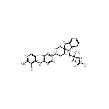 CC(C)(C[C@@H]1c2ccccc2OC12CCN(c1cnc(Oc3ccnc(Cl)c3Cl)cn1)CC2)NC(=O)O